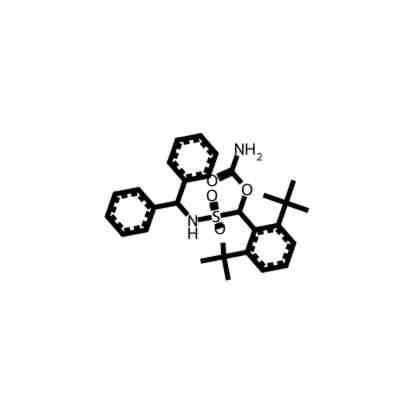 CC(C)(C)c1cccc(C(C)(C)C)c1C(OC(N)=O)S(=O)(=O)NC(c1ccccc1)c1ccccc1